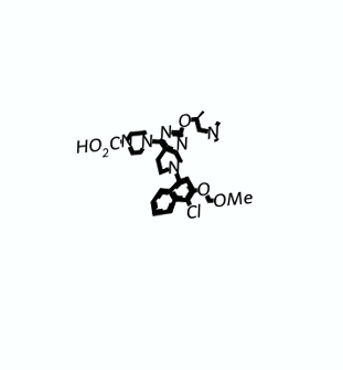 COCOc1cc(N2CCc3c(nc(O[C@@H](C)CN(C)C)nc3N3CCN(C(=O)O)CC3)C2)c2ccccc2c1Cl